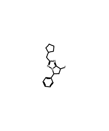 FC1CC(c2ccccc2)n2nc(CC3CCCC3)nc21